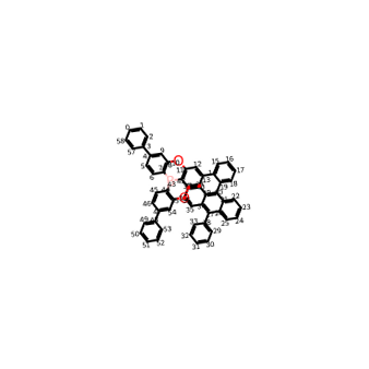 c1ccc(-c2ccc3c(c2)Oc2cc(-c4ccccc4-c4c5ccccc5c(-c5ccccc5)c5ccccc45)cc4c2B3c2ccc(-c3ccccc3)cc2O4)cc1